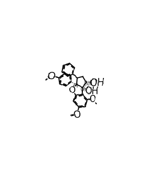 COc1ccc([C@@]23Oc4cc(OC)cc(OC)c4[C@]2(O)[C@@H](O)CC3c2ccccc2)cc1